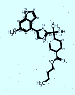 CCCCOC(=O)[C@H]1CC[C@H]([C@@](C)(O)c2ncc(-c3cc(N)cc4[nH]ccc34)s2)CC1